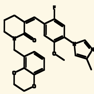 COc1cc(C=C2CCCN(Cc3cccc4c3OCCO4)C2=O)c(F)cc1-n1cnc(C)c1